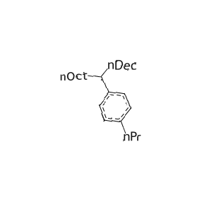 CCCCCCCCCC[C](CCCCCCCC)c1ccc(CCC)cc1